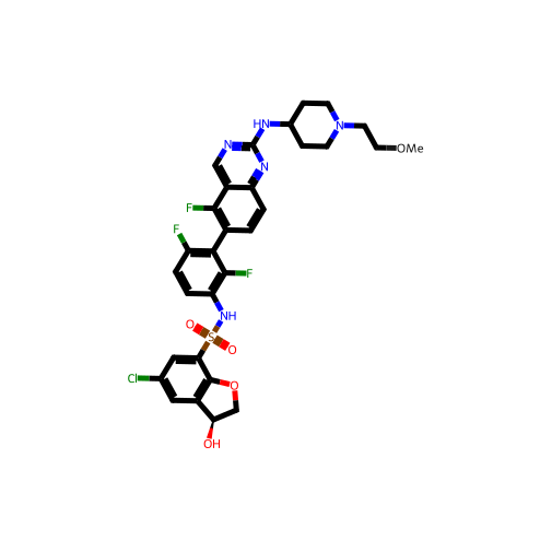 COCCN1CCC(Nc2ncc3c(F)c(-c4c(F)ccc(NS(=O)(=O)c5cc(Cl)cc6c5OC[C@H]6O)c4F)ccc3n2)CC1